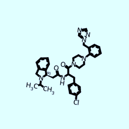 CC(C)N1Cc2ccccc2[C@H]1CC(=O)NC(Cc1ccc(Cl)cc1)C(=O)N1CCN(c2ccccc2Cn2cncn2)CC1